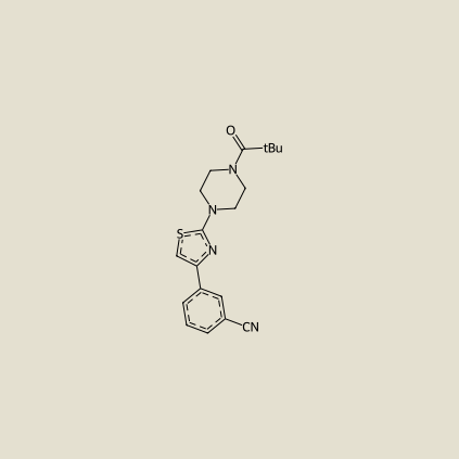 CC(C)(C)C(=O)N1CCN(c2nc(-c3cccc(C#N)c3)cs2)CC1